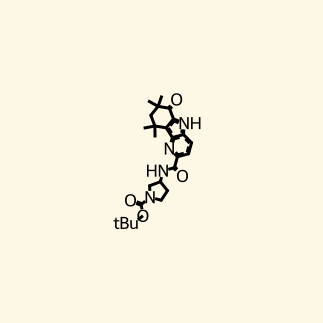 CC(C)(C)OC(=O)N1CCC(NC(=O)c2ccc3[nH]c4c(c3n2)C(C)(C)CC(C)(C)C4=O)C1